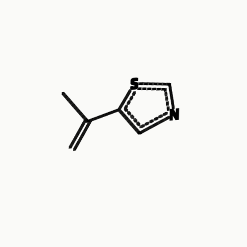 C=C(C)c1cncs1